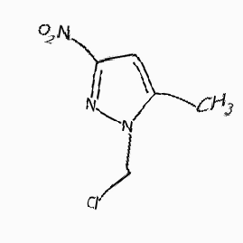 Cc1cc([N+](=O)[O-])nn1CCl